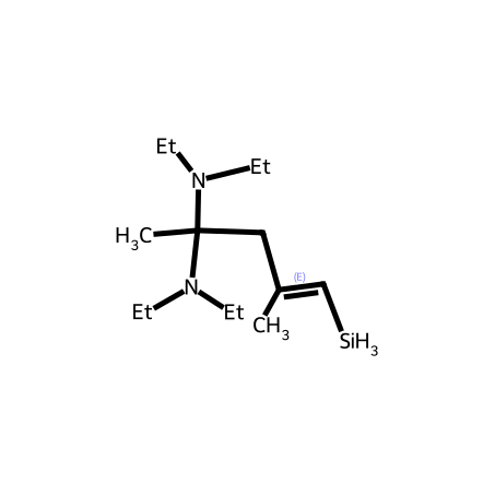 CCN(CC)C(C)(C/C(C)=C/[SiH3])N(CC)CC